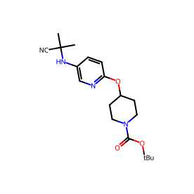 CC(C)(C#N)Nc1ccc(OC2CCN(C(=O)OC(C)(C)C)CC2)nc1